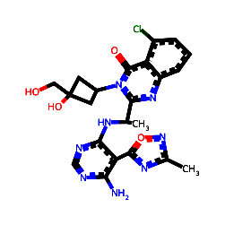 Cc1noc(-c2c(N)ncnc2NC(C)c2nc3cccc(Cl)c3c(=O)n2C2CC(O)(CO)C2)n1